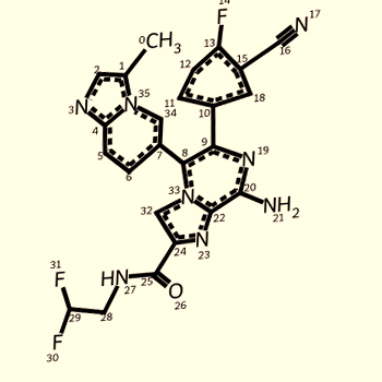 Cc1cnc2ccc(-c3c(-c4ccc(F)c(C#N)c4)nc(N)c4nc(C(=O)NCC(F)F)cn34)cn12